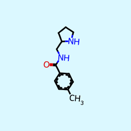 Cc1ccc(C(=O)NCC2CCCN2)cc1